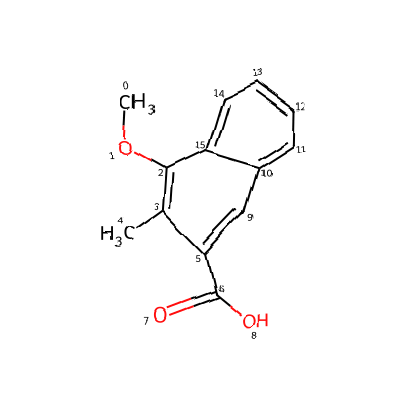 COc1c(C)c(C(=O)O)cc2ccccc12